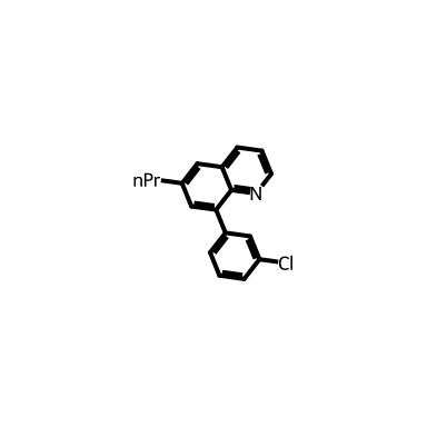 CCCc1cc(-c2cccc(Cl)c2)c2ncccc2c1